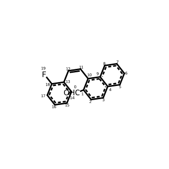 O=Cc1ccc2ccccc2c1/C=C\c1ccccc1F